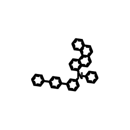 c1ccc(-c2ccc(-c3cccc(N(c4ccccc4)c4cccc5c4ccc4ccc6ccccc6c45)c3)cc2)cc1